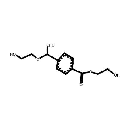 O=CC(OCCO)c1ccc(C(=O)OCCO)cc1